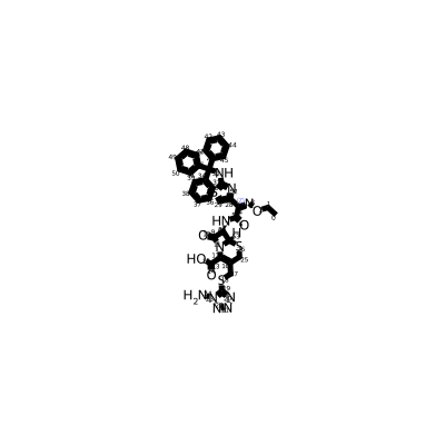 CCO/N=C(\C(=O)N[C@@H]1C(=O)N2C(C(=O)O)=C(CSc3nnnn3N)CS[C@@H]12)c1csc(NC(c2ccccc2)(c2ccccc2)c2ccccc2)n1